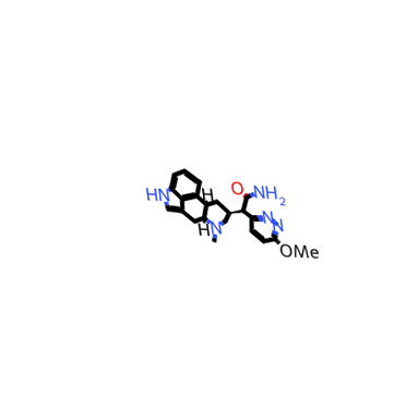 COc1ccc(C(C(N)=O)[C@@H]2C[C@@H]3c4cccc5[nH]cc(c45)C[C@H]3N(C)C2)nn1